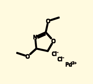 COC1=NC(OC)CO1.[Cl-].[Cl-].[Pd+2]